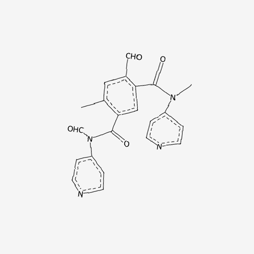 Cc1cc(C=O)c(C(=O)N(C)c2ccncc2)cc1C(=O)N(C=O)c1ccncc1